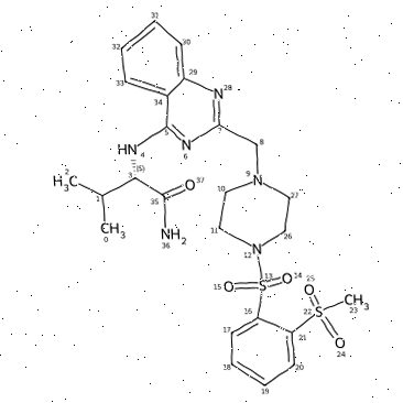 CC(C)[C@H](Nc1nc(CN2CCN(S(=O)(=O)c3ccccc3S(C)(=O)=O)CC2)nc2ccccc12)C(N)=O